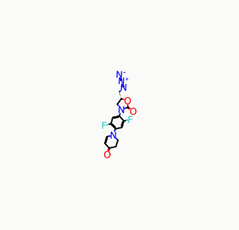 [N-]=[N+]=NC[C@H]1CN(c2cc(F)c(N3C=CC(=O)CC3)cc2F)C(=O)O1